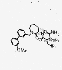 CCC[C@H](C(N)=O)[C@@H](CC(C)C)C(=O)N[C@H]1CCCCN(Cc2cccc(-c3cccc(OC)c3)c2)C1=O